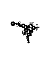 CCN(CC1CCC(CC(=O)OCc2ccccc2)CC1)c1ccc(C(F)(F)F)cc1CN(c1ncc(OCCSC)cn1)C(C)c1cc(C(F)(F)F)cc(C(F)(F)F)c1